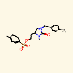 Cc1ccc(S(=O)(=O)OCCC2CN(Cc3ccc(C(F)(F)F)cc3)C(=O)N2C)cc1